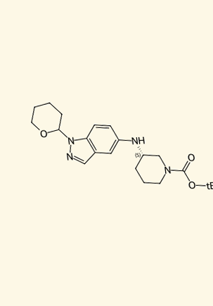 CC(C)(C)OC(=O)N1CCC[C@H](Nc2ccc3c(cnn3C3CCCCO3)c2)C1